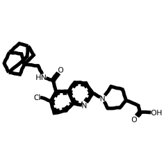 O=C(O)CC1CCN(c2ccc3c(C(=O)NCC45CC6CC(CC(C6)C4)C5)c(Cl)ccc3n2)CC1